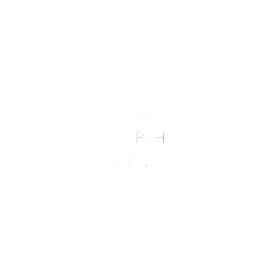 [BaH2].[Co].[Gd].[La]